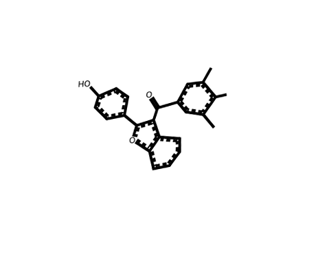 Cc1cc(C(=O)c2c(-c3ccc(O)cc3)oc3ccccc23)cc(C)c1C